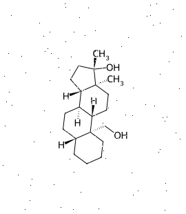 C[C@]1(O)CC[C@H]2[C@@H]3CC[C@H]4CCCC[C@]4(CO)[C@H]3CC[C@@]21C